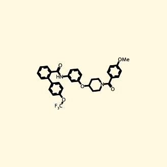 COc1ccc(C(=O)N2CCC(Oc3cccc(NC(=O)c4ccccc4-c4ccc(OC(F)(F)F)cc4)c3)CC2)cc1